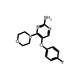 Nc1ncc(Oc2ccc(F)cc2)c(N2CCOCC2)n1